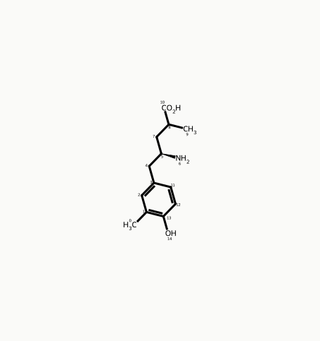 Cc1cc(C[C@H](N)CC(C)C(=O)O)ccc1O